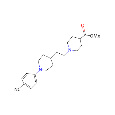 COC(=O)C1CCN(CCC2CCN(c3ccc(C#N)cc3)CC2)CC1